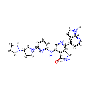 Cn1ccc2c(-c3ncc(Nc4cccc(N5CC[C@H](N6CCCC6)C5)n4)c4c3CNC4=O)ccnc21